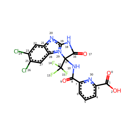 O=C(O)c1cccc(C(=O)NC2(C(F)(F)F)C(=O)Nc3nc4cc(Cl)c(Cl)cc4n32)n1